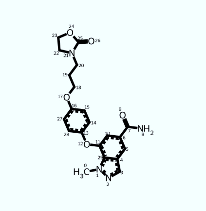 Cn1ncc2cc(C(N)=O)cc(Oc3ccc(OCCCN4CCOC4=O)cc3)c21